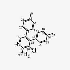 Cc1ccc(-c2cnc(P)c(Cl)c2-c2ccc(C)cc2)cc1